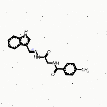 Cc1ccc(C(=O)NCC(=O)N/N=C/c2c[nH]c3ccccc23)cc1